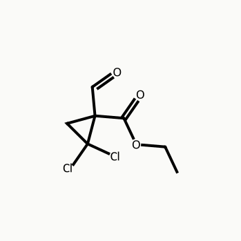 CCOC(=O)C1(C=O)CC1(Cl)Cl